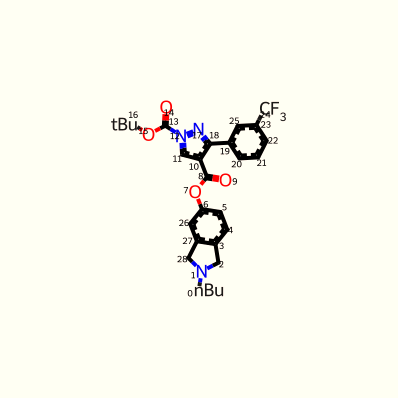 CCCCN1Cc2ccc(OC(=O)c3cn(C(=O)OC(C)(C)C)nc3-c3cccc(C(F)(F)F)c3)cc2C1